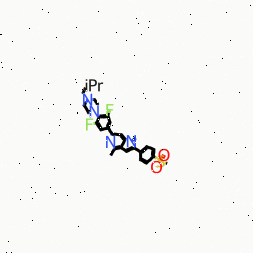 Cc1nc(-c2cc(F)c(N3CCN(CC(C)C)CC3)c(F)c2)cc2c1cc(-c1ccc(S(C)(=O)=O)cc1)n2C